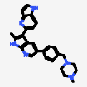 Cc1[nH]c2ncc(-c3ccc(CN4CCN(C)CC4)cc3)cc2c1-c1ccc2[nH]ccc2n1